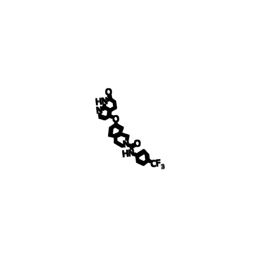 O=C1CCc2c(Oc3ccc4c(c3)CN(C(=O)Nc3ccc(C(F)(F)F)cc3)CC4)ccnc2N1